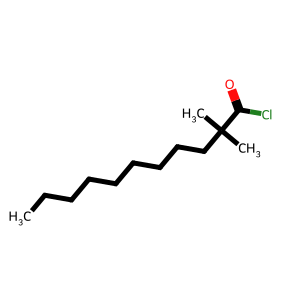 CCCCCCCCCC(C)(C)C(=O)Cl